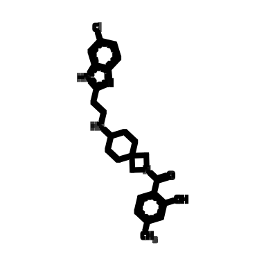 Cc1ccc(C(=O)N2CC3(CCC(NCCc4nc5ccc(Cl)cc5[nH]4)CC3)C2)c(O)c1